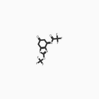 O=C1CC(=NC(=O)C(F)(F)F)c2nc(OC(F)(F)F)sc2C1